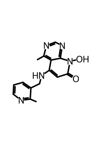 Cc1ncccc1CNc1cc(=O)n(O)c2ncnc(C)c12